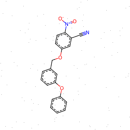 N#Cc1cc(OCc2cccc(Oc3ccccc3)c2)ccc1[N+](=O)[O-]